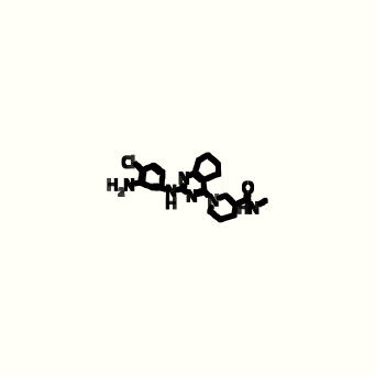 CNC(=O)C1CCCN(c2nc(Nc3ccc(Cl)c(N)c3)nc3c2CCCC3)C1